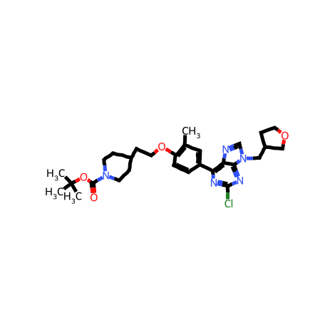 Cc1cc(-c2nc(Cl)nc3c2ncn3CC2CCOC2)ccc1OCCC1CCN(C(=O)OC(C)(C)C)CC1